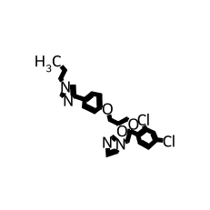 CCCn1cnc(-c2ccc(OCC3COC(Cn4ccnc4)(c4ccc(Cl)cc4Cl)O3)cc2)c1